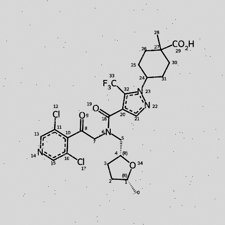 C[C@@H]1CC[C@H](CN(CC(=O)c2c(Cl)cncc2Cl)C(=O)c2cnn(C3CCC(C)(C(=O)O)CC3)c2C(F)(F)F)O1